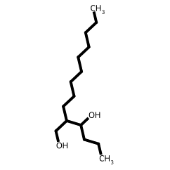 CCCCCCCCCC(CO)C(O)CCC